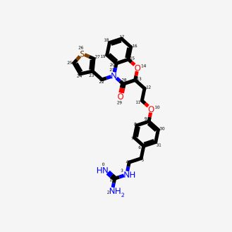 N=C(N)NCCc1ccc(OCCC2Oc3ccccc3N(Cc3ccsc3)C2=O)cc1